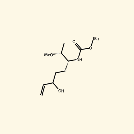 C=CC(O)CC[C@@H](NC(=O)OC(C)(C)C)[C@@H](C)OC